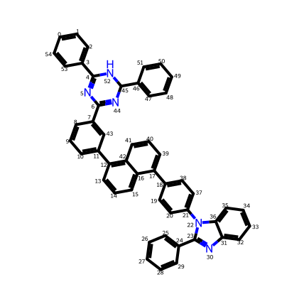 c1ccc(C2=NC(c3cccc(-c4cccc5c(-c6ccc(-n7c(-c8ccccc8)nc8ccccc87)cc6)cccc45)c3)=NC(c3ccccc3)N2)cc1